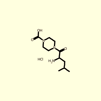 CC(C)CC(N)C(=O)N1CCN(C(=O)O)CC1.Cl